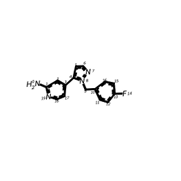 Nc1cc(-c2ccnn2Cc2ccc(F)cc2)ccn1